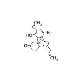 C=CCN1CC23C[C@]4(CC(=O)CCC4C12)c1c(O)c(OC)cc(Br)c13